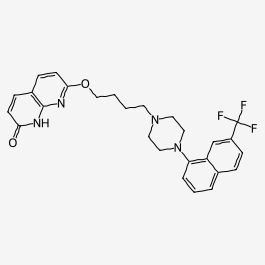 O=c1ccc2ccc(OCCCCN3CCN(c4cccc5ccc(C(F)(F)F)cc45)CC3)nc2[nH]1